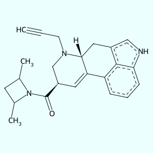 C#CCN1C[C@H](C(=O)N2C(C)CC2C)C=C2c3cccc4[nH]cc(c34)C[C@H]21